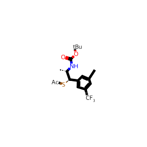 CC(=O)S[C@@H](c1cc(C)cc(C(F)(F)F)c1)[C@H](C)NC(=O)OC(C)(C)C